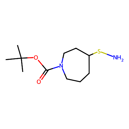 CC(C)(C)OC(=O)N1CCCC(SN)CC1